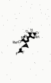 COc1nnc(-c2c[nH]c(=O)[nH]c2=O)cc1[C@H]1C[C@@H]1C=C(F)F